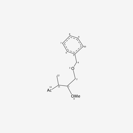 COC(COCc1ccccc1)C(C)C(C)=O